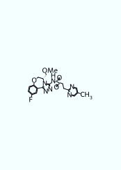 COC[C@H]1COc2ccc(F)cc2-c2nnc(NS(=O)(=O)CCc3ncc(C)cn3)n21